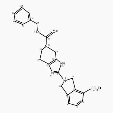 CCOC(=O)c1cccc2c1CN(c1nc3c([nH]1)CN(C(=O)OCc1ccccc1)CC3)C2